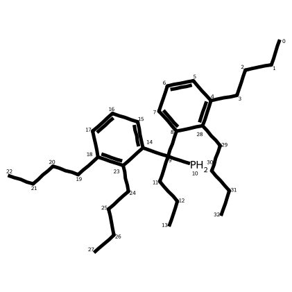 CCCCc1cccc(C(P)(CCC)c2cccc(CCCC)c2CCCC)c1CCCC